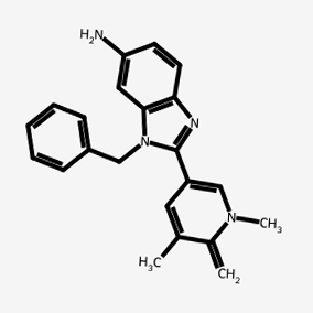 C=C1C(C)=CC(c2nc3ccc(N)cc3n2Cc2ccccc2)=CN1C